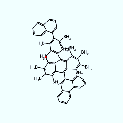 Bc1c(B)c(-c2c3c(B)c(B)c(B)c(B)c3c(-c3cc4ccccc4c4ccccc34)c3c(B)c(B)c(B)c(B)c23)c(B)c(B)c1-c1cccc2ccccc12